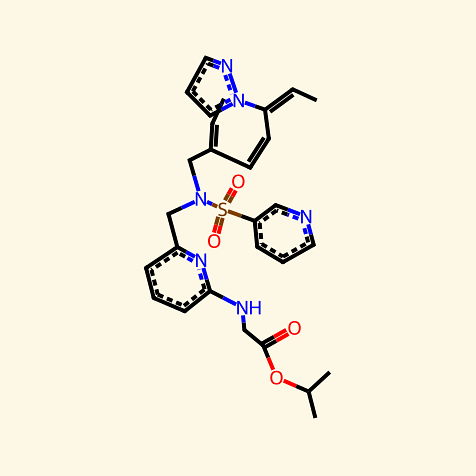 C\C=C(/C=C\C(=C/C)n1cccn1)CN(Cc1cccc(NCC(=O)OC(C)C)n1)S(=O)(=O)c1cccnc1